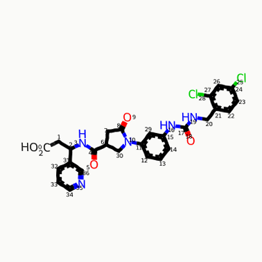 O=C(O)CC(NC(=O)C1CC(=O)N(c2cccc(NC(=O)NCc3ccc(Cl)cc3Cl)c2)C1)c1cccnc1